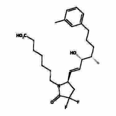 Cc1cccc(CCC[C@H](C)[C@@H](O)C=C[C@H]2CC(F)(F)C(=O)N2CCCCCCC(=O)O)c1